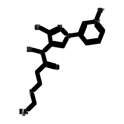 CCN(C(=O)CCSCC(F)(F)F)c1cn(-c2ccc[n+]([O-])c2)nc1Cl